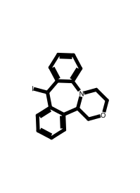 IC1c2ccccc2C2COCCN2c2ccccc21